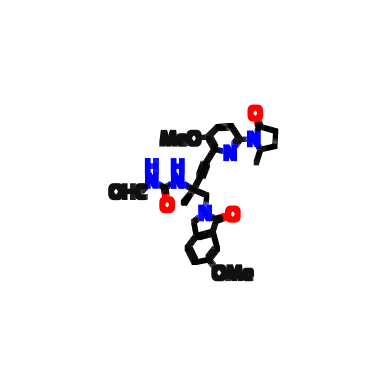 COc1ccc2c(c1)C(=O)N(C[C@@](C)(C#Cc1nc(N3C(=O)CCC3C)ccc1OC)NC(=O)NC=O)C2